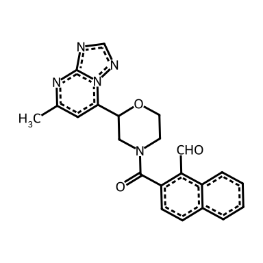 Cc1cc(C2CN(C(=O)c3ccc4ccccc4c3C=O)CCO2)n2ncnc2n1